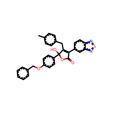 Cc1ccc(CC2=C(c3ccc4nsnc4c3)C(=O)OC2(O)c2ccc(OCc3ccccc3)cc2)cc1